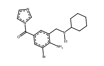 CCN(Cc1cc(C(=O)n2ccnc2)cc(Br)c1N)C1CCCCC1